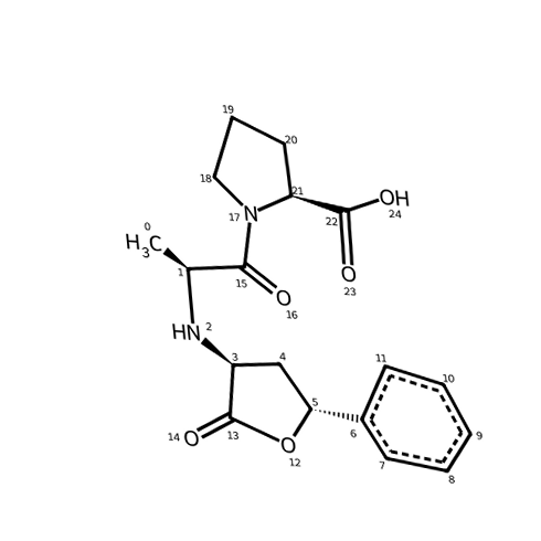 C[C@H](N[C@H]1C[C@H](c2ccccc2)OC1=O)C(=O)N1CCC[C@H]1C(=O)O